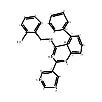 Oc1ccccc1CNc1nc(-c2cncnc2)nc2cccc(-c3ccccc3)c12